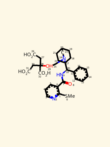 CSc1ncccc1C(=O)N[C@H](c1ccccc1)C12CCC(CC1)CN2C.O=C(O)CC(O)(CC(=O)O)C(=O)O